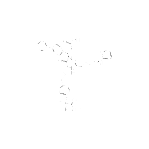 O=C(O)C(F)(F)F.O=C(O)CC(NC(=O)[C@@H](CSCc1ccccc1)NC(=O)CCCCNc1ccccn1)c1ccc(-c2ccccc2)cc1